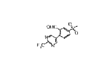 CS(=O)(=O)c1ccc(-c2cnc(C(F)(F)F)nc2)c(C=O)c1